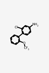 Nc1ccc(-c2ccccc2OC(F)(F)F)c(Cl)c1